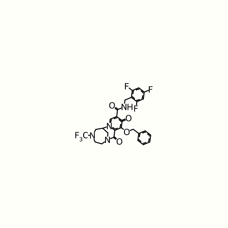 O=C(NCc1c(F)cc(F)cc1F)c1cn2c(c(OCc3ccccc3)c1=O)C(=O)N1CCN(C(F)(F)F)CC2C1